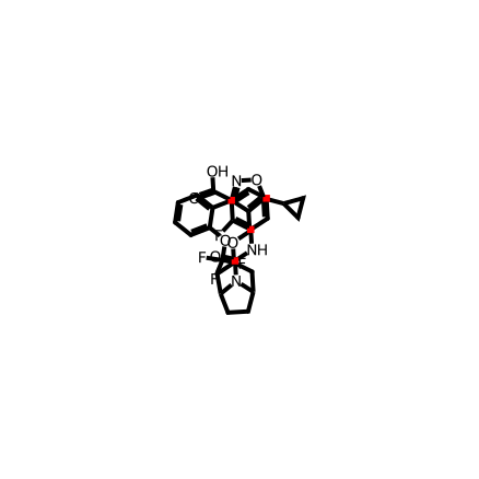 O=C(O)c1cccc(NC(=O)N2C3CCC2CC(OCc2c(-c4ccccc4OC(F)(F)F)noc2C2CC2)C3)c1F